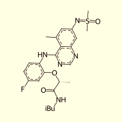 CCC(C)NC(=O)[C@@H](C)Oc1cc(F)ccc1Nc1ncnc2cc(N=S(C)(C)=O)cc(C)c12